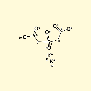 O=C([O-])CS(=O)(=O)CC(=O)[O-].[K+].[K+]